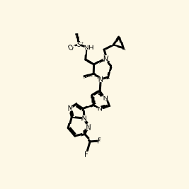 CC1C(CN[S+](C)[O-])N(CC2CC2)CCN1c1cc(-c2cnc3ccc(C(F)F)nn23)ncn1